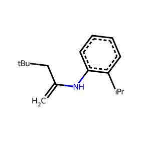 C=C(CC(C)(C)C)Nc1ccccc1C(C)C